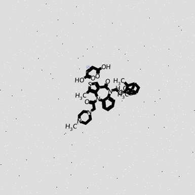 Cc1scc2c1N(C(=O)CN1CCN(C)CC1)c1ccccc1N(COC1CC3CC(C1C)C3(C)C)C2=O.O=C(O)/C=C\C(=O)O